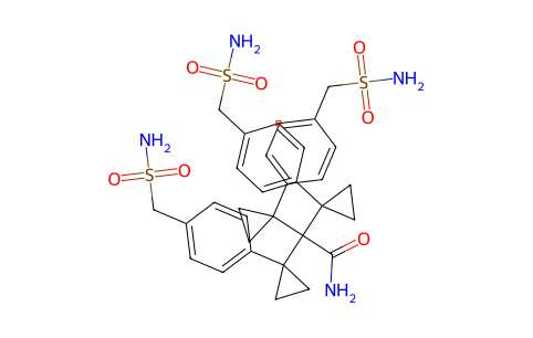 NC(=O)C(C1(c2ccc(CS(N)(=O)=O)cc2)CC1)(C1(c2ccc(CS(N)(=O)=O)cc2)CC1)C1(c2ccc(CS(N)(=O)=O)cc2)CC1